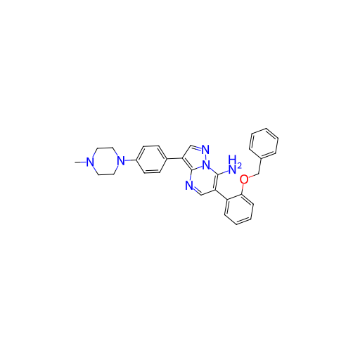 CN1CCN(c2ccc(-c3cnn4c(N)c(-c5ccccc5OCc5ccccc5)cnc34)cc2)CC1